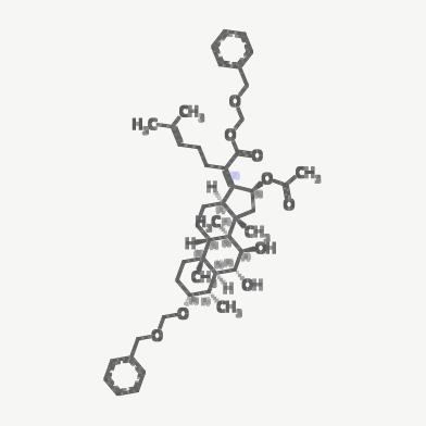 CC(=O)O[C@H]1C[C@@]2(C)[C@@H](CC[C@H]3[C@@]4(C)CC[C@@H](OCOCc5ccccc5)[C@@H](C)[C@@H]4[C@@H](O)[C@H](O)[C@@]32C)/C1=C(\CCC=C(C)C)C(=O)OCOCc1ccccc1